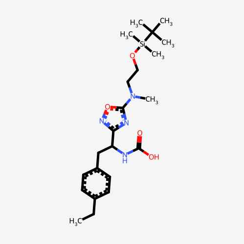 CCc1ccc(CC(NC(=O)O)c2noc(N(C)CCO[Si](C)(C)C(C)(C)C)n2)cc1